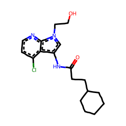 O=C(CCC1CCCCC1)Nc1cn(CCO)c2nccc(Cl)c12